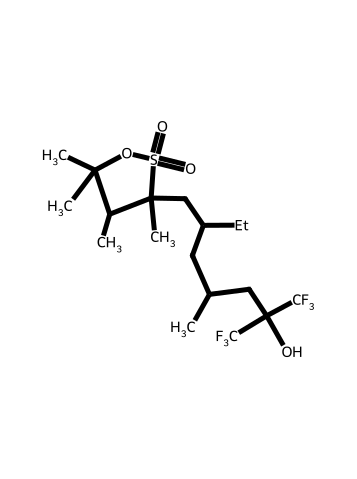 CCC(CC(C)CC(O)(C(F)(F)F)C(F)(F)F)CC1(C)C(C)C(C)(C)OS1(=O)=O